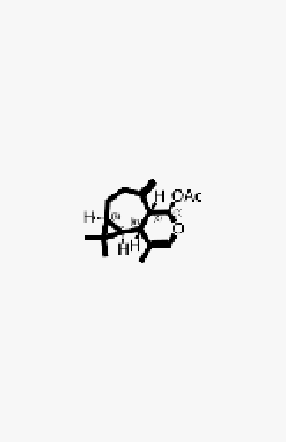 C=C1CC[C@H]2[C@@H]([C@H]3C(C)=CO[C@H](OC(C)=O)[C@@H]13)C2(C)C